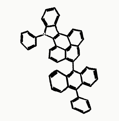 c1ccc(-c2c3ccccc3c(-c3cc4cccc5c4c4c3cccc4c3c5c4ccccc4n3-c3ccccc3)c3ccccc23)cc1